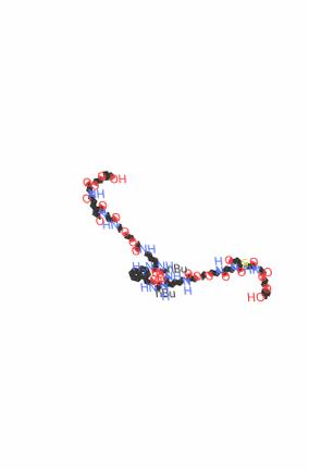 CCCCC(NC(=O)Cc1cccc2ccccc12)C(=O)NC(CCCCNC(=O)COCCOCCNC(=O)CCN1C(=O)CC(SCC(=O)NCC(=O)OCCOC(C)(C)CO)C1=O)C(=O)NC(CCCC)C(=O)NC(CCCCNC(=O)COCCOCCNC(=O)CCN1C(=O)CC(CCC(=O)NCC(=O)OCCOC(C)(C)CO)C1=O)C(N)=O